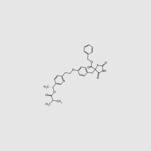 CC(C)C(=O)O[C@H](C)c1ccc(CCOc2ccc(CC3(C(=O)OCc4ccccc4)SC(=O)NC3=O)cc2)nc1